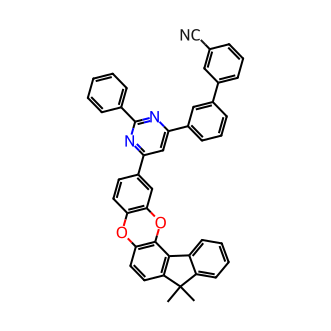 CC1(C)c2ccccc2-c2c1ccc1c2Oc2cc(-c3cc(-c4cccc(-c5cccc(C#N)c5)c4)nc(-c4ccccc4)n3)ccc2O1